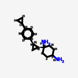 NC1CCC(N)([C@@H]2C[C@H]2c2ccc(C3CC3)cc2)CC1